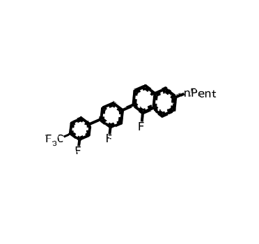 CCCCCc1ccc2c(F)c(-c3ccc(-c4ccc(C(F)(F)F)c(F)c4)c(F)c3)ccc2c1